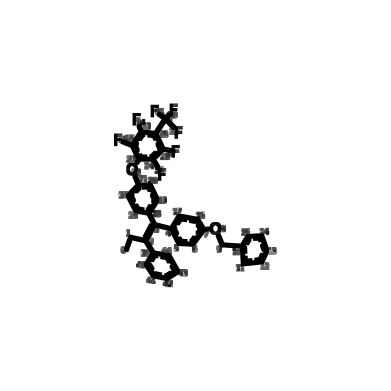 CCC(=C(c1ccc(OCc2ccccc2)cc1)c1ccc(Oc2c(F)c(F)c(C(F)(F)F)c(F)c2F)cc1)c1ccccc1